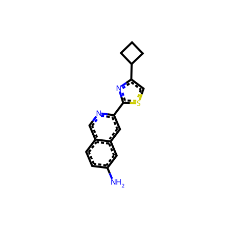 Nc1ccc2cnc(-c3nc(C4CCC4)cs3)cc2c1